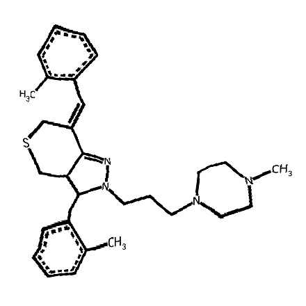 Cc1ccccc1C=C1CSCC2C1=NN(CCCN1CCN(C)CC1)C2c1ccccc1C